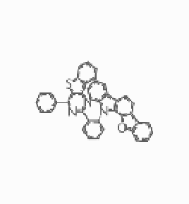 c1ccc(-c2nc(-c3ccccc3-n3c4ccccc4c4ccc5c6ccccc6oc5c43)nc3c2sc2ccccc23)cc1